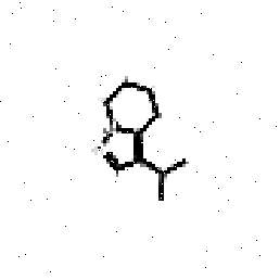 CC(C)c1cnn2c1CCCC2